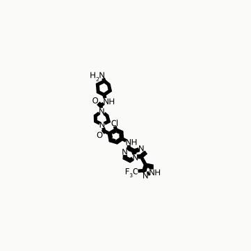 NC1CCC(NC(=O)N2CCN(C(=O)c3ccc(Nc4nccn5c(-c6c[nH]nc6C(F)(F)F)cnc45)cc3Cl)CC2)CC1